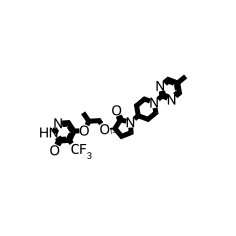 Cc1cnc(N2CCC(N3CC[C@H](OCC(C)Oc4cn[nH]c(=O)c4C(F)(F)F)C3=O)CC2)nc1